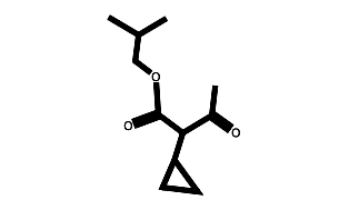 CC(=O)C(C(=O)OCC(C)C)C1CC1